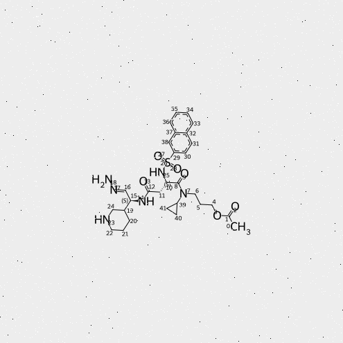 CC(=O)OCCCN(C(=O)[C@H](CC(=O)N[C@H](C=NN)C1CCCNC1)NS(=O)(=O)c1ccc2ccccc2c1)C1CC1